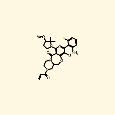 C=CC(=O)N1CCN2C(=O)c3c(N4CCC(OC)C4(C)C)nc(-c4c(N)cccc4F)c(Cl)c3OCC2C1